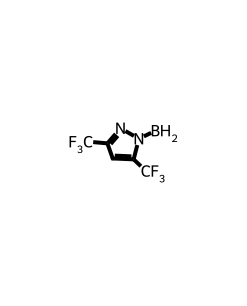 Bn1nc(C(F)(F)F)cc1C(F)(F)F